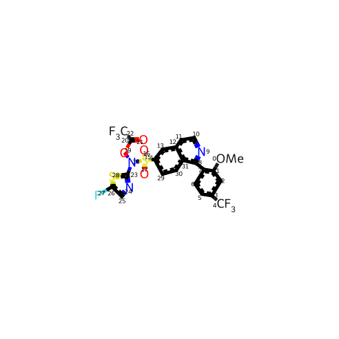 COc1cc(C(F)(F)F)ccc1-c1nccc2cc(S(=O)(=O)N(OC(=O)C(F)(F)F)c3ncc(F)s3)ccc12